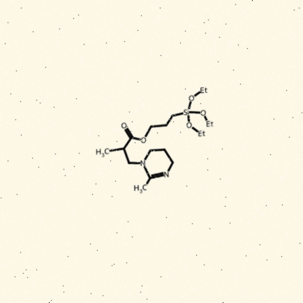 CCO[Si](CCCOC(=O)C(C)CN1CCCN=C1C)(OCC)OCC